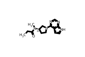 CCC(=O)N(C)[C@@H]1CCN(c2ncnc3[nH]ccc23)C1